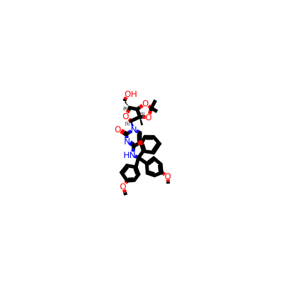 COc1ccc(C(Nc2ccn([C@H]3O[C@H](CO)C4OC(C)(C)O[C@@]43C)c(=O)n2)(c2ccccc2)c2ccc(OC)cc2)cc1